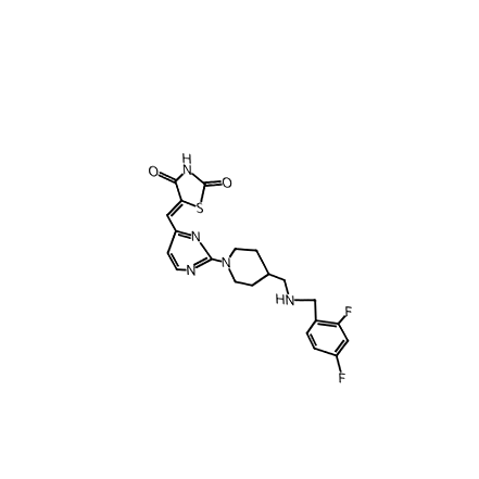 O=C1NC(=O)C(=Cc2ccnc(N3CCC(CNCc4ccc(F)cc4F)CC3)n2)S1